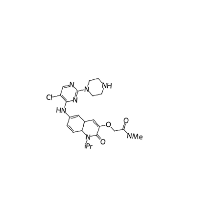 CNC(=O)COC1=CC2C=C(Nc3nc(N4CCNCC4)ncc3Cl)C=CC2N(C(C)C)C1=O